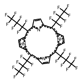 FC(F)(F)C(F)(F)C(F)(F)c1c2nc(c(C(F)(F)C(F)(F)C(F)(F)F)c3ccc([nH]3)c(C(F)(F)C(F)(F)C(F)(F)F)c3nc(c(C(F)(F)C(F)(F)C(F)(F)F)c4ccc1[nH]4)C=C3)C=C2